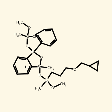 CO[Si](C)(C)O[Si](O[Si](C)(C)O[Si](C)(CCCOCC1CC1)OC)(c1ccccc1)c1ccccc1